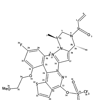 C=CC(=O)N1C[C@H](C)n2nc(-c3nc(OS(=O)(=O)C(F)(F)F)c4ccsc4c3-c3c(F)cc(F)cc3OCCOC)cc2[C@H]1C